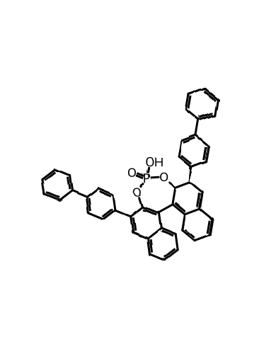 O=P1(O)Oc2c(-c3ccc(-c4ccccc4)cc3)cc3ccccc3c2C2=c3ccccc3=C[C@H](c3ccc(-c4ccccc4)cc3)C2O1